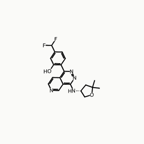 CC1(C)C[C@@H](Nc2nnc(-c3ccc(C(F)F)cc3O)c3ccncc23)CO1